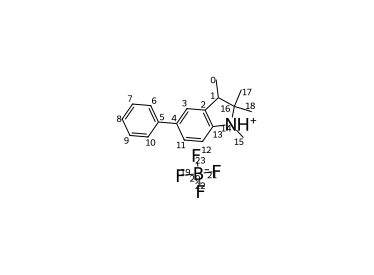 CC1c2cc(-c3ccccc3)ccc2[NH+](C)C1(C)C.F[B-](F)(F)F